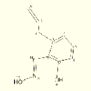 C=CCc1cccc(O)c1C=NO